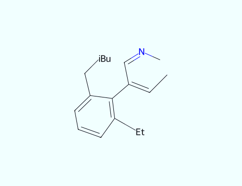 C/C=C(\C=N/C)c1c(CC)cccc1CC(C)CC